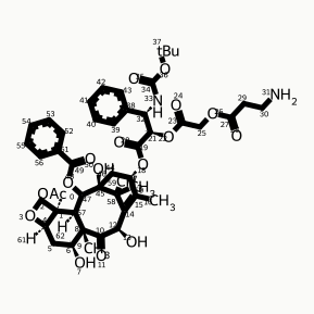 CC(=O)O[C@@]12CO[C@@H]1C[C@H](O)[C@@]1(C)C(=O)[C@H](O)C3=C(C)[C@@H](OC(=O)[C@H](OC(=O)COC(=O)CCN)[C@@H](NC(=O)OC(C)(C)C)c4ccccc4)C[C@@](O)(C(OC(=O)c4ccccc4)[C@H]21)C3(C)C